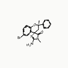 CN1C(=O)C2(C[C@@](C)(c3ccccc3)Oc3ccc(Br)cc32)N=C1N